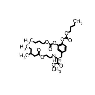 CCCCOC(=O)Oc1ccc(C[C@H](NCCOC(=O)CC(C)CC)C(=O)OC)cc1OC(=O)OCCCC